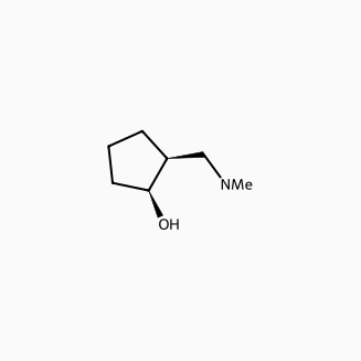 CNC[C@@H]1CCC[C@@H]1O